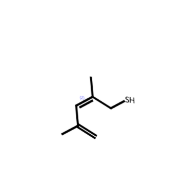 C=C(C)/C=C(/C)CS